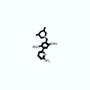 COc1cc(-c2cccc(N)n2)c(OC)cc1CN1CC(C)CC(C)C1